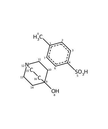 Cc1ccc(S(=O)(=O)O)cc1.OC12CCN(CC1)CC2